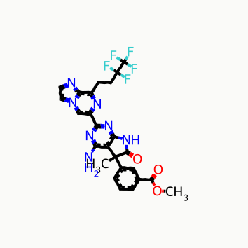 COC(=O)c1cccc(C2(C)C(=O)Nc3nc(-c4cn5ccnc5c(CCC(F)(F)C(F)(F)F)n4)nc(N)c32)c1